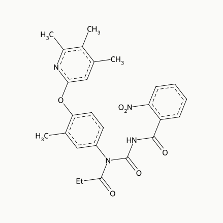 CCC(=O)N(C(=O)NC(=O)c1ccccc1[N+](=O)[O-])c1ccc(Oc2cc(C)c(C)c(C)n2)c(C)c1